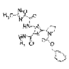 CNC(=O)c1nc([C@H]2CCCN2C(=O)OCc2ccccc2)sc1NC(=O)c1nc(C)no1